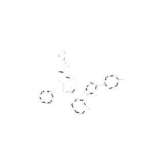 O=C(NC1CC1)C(=O)[C@@H](Cc1ccccc1)NC(=O)c1cccnc1-n1ccc(-c2ccc(F)cc2)n1